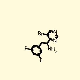 N[C@@H](Cc1cc(F)cc(F)c1)c1ncncc1Br